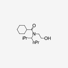 CCCC(C(C)C)N(CCO)C(=O)C1CCCCC1